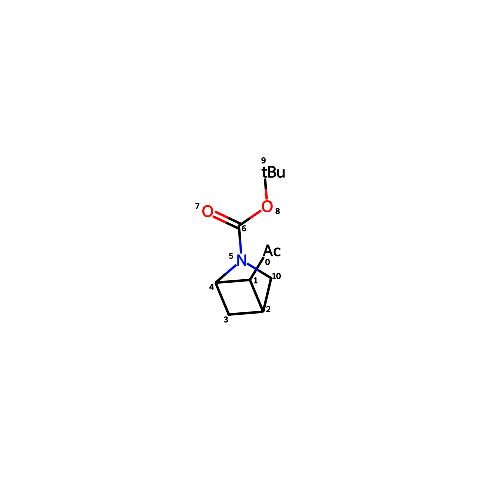 CC(=O)C1C2CC1N(C(=O)OC(C)(C)C)C2